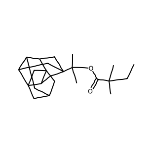 CCC(C)(C)C(=O)OC(C)(C)C12CC3C4CC5CC36CC(C5)(C4C1)C6C2